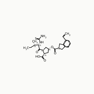 C=Cc1cccc2c1CN(C(=O)O[C@@H]1C[C@@H](C(=O)O)N(C(=O)[C@@H](NC(N)=S)[C@@H](C)CC)C1)C2